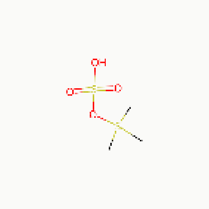 CS(C)(C)OS(=O)(=O)O